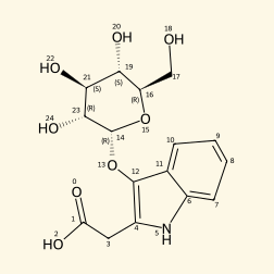 O=C(O)Cc1[nH]c2ccccc2c1O[C@H]1O[C@H](CO)[C@@H](O)[C@H](O)[C@H]1O